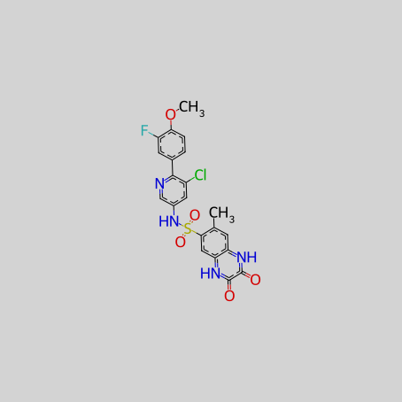 COc1ccc(-c2ncc(NS(=O)(=O)c3cc4[nH]c(=O)c(=O)[nH]c4cc3C)cc2Cl)cc1F